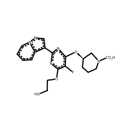 O=C(O)N1CCC[C@@H](Oc2nc(-c3cnn4ccccc34)nc(OCCO)c2F)C1